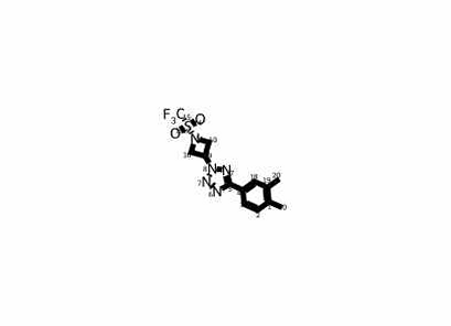 Cc1ccc(-c2nnn(C3CN(S(=O)(=O)C(F)(F)F)C3)n2)cc1C